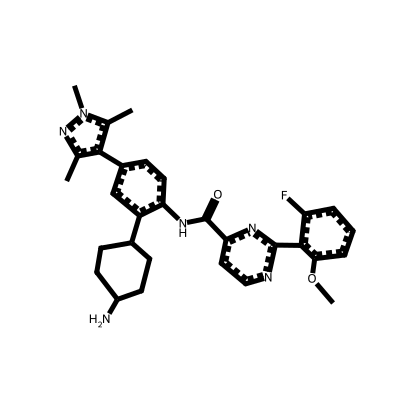 COc1cccc(F)c1-c1nccc(C(=O)Nc2ccc(-c3c(C)nn(C)c3C)cc2C2CCC(N)CC2)n1